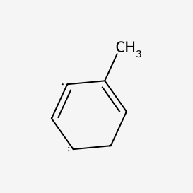 CC1=CC[C]C=[C]1